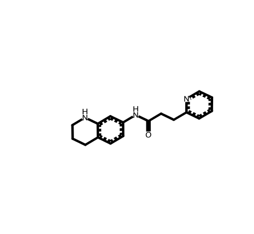 O=C(CCc1ccccn1)Nc1ccc2c(c1)NCCC2